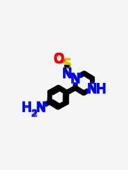 Nc1ccc(C2CNCCN2N=S=O)cc1